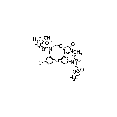 CCS(=O)(=O)CCN(c1ccc2c(c1)-c1cn(C)c(=O)cc1OCCN(C(=O)OC(C)(C)C)Cc1cc(Cl)ccc1O2)[SH](=O)=O